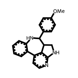 COc1ccc(C2Nc3ccccc3-c3ccnc4c3C2CN4)cc1